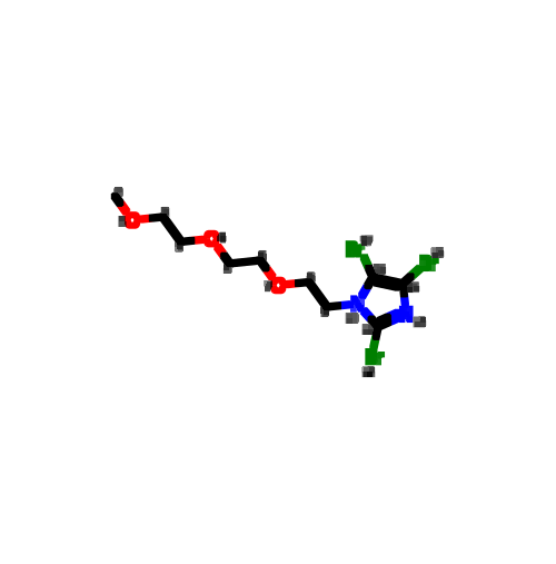 COCCOCCOCCn1c(Br)nc(Br)c1Br